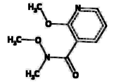 COc1ncccc1C(=O)N(C)OC